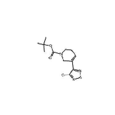 CC(C)(C)OC(=O)N1CCC=C(c2nsnc2Cl)C1